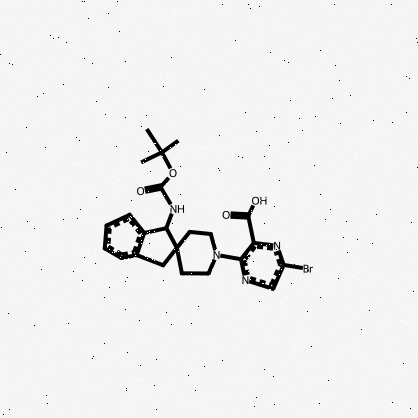 CC(C)(C)OC(=O)NC1c2ccccc2CC12CCN(c1ncc(Br)nc1C(=O)O)CC2